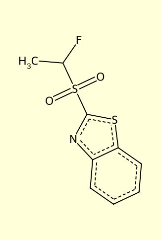 CC(F)S(=O)(=O)c1nc2ccccc2s1